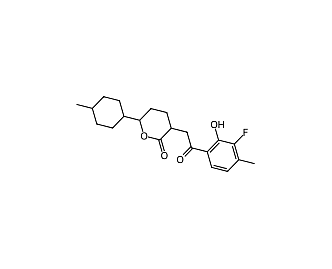 Cc1ccc(C(=O)CC2CCC(C3CCC(C)CC3)OC2=O)c(O)c1F